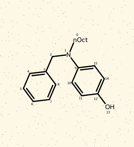 CCCCCCCCN(Cc1ccccc1)c1ccc(O)cc1